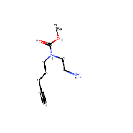 C#CCCCN(CCN)C(=O)OC(C)(C)C